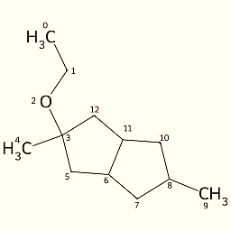 CCOC1(C)CC2CC(C)CC2C1